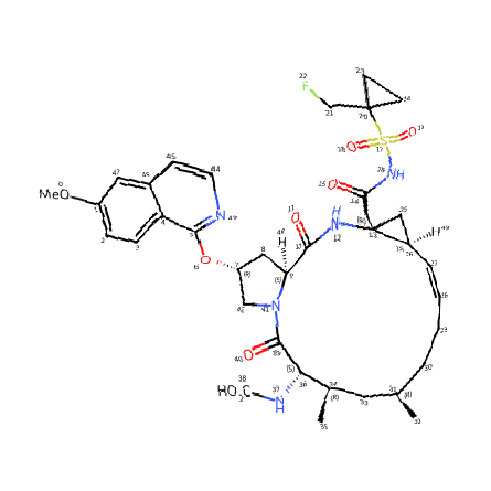 COc1ccc2c(O[C@@H]3C[C@H]4C(=O)N[C@]5(C(=O)NS(=O)(=O)C6(CF)CC6)C[C@H]5C=CCC[C@@H](C)C[C@@H](C)[C@H](NC(=O)O)C(=O)N4C3)nccc2c1